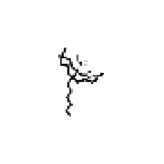 CCCCCCC(CCCC)(CCCC)C(P)(CCCC)CCCC